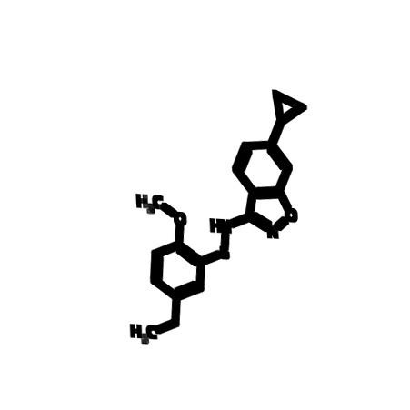 CCc1ccc(OC)c(SNc2noc3cc(C4CC4)ccc23)c1